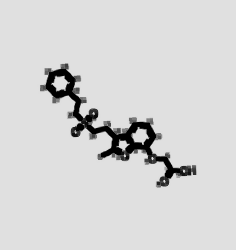 Cc1oc2c(OCC(=O)O)cccc2c1CCS(=O)(=O)CCc1ccccc1